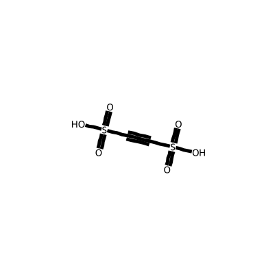 O=S(=O)(O)C#CS(=O)(=O)O